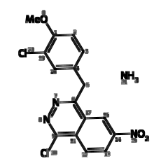 COc1ccc(Cc2nnc(Cl)c3ccc([N+](=O)[O-])cc23)cc1Cl.N